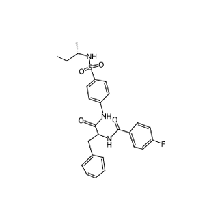 CC[C@H](C)NS(=O)(=O)c1ccc(NC(=O)C(Cc2ccccc2)NC(=O)c2ccc(F)cc2)cc1